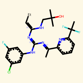 CC/C=C(/N=C(\N=C(/C)c1cccc(C(C)(F)F)n1)Nc1cc(F)cc(Cl)c1)NCC(C)(C)O